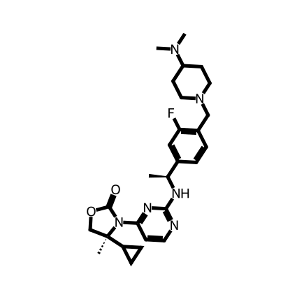 C[C@H](Nc1nccc(N2C(=O)OC[C@]2(C)C2CC2)n1)c1ccc(CN2CCC(N(C)C)CC2)c(F)c1